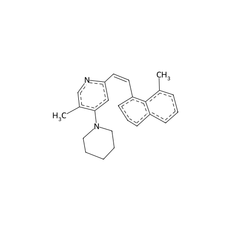 Cc1cnc(/C=C\c2cccc3cccc(C)c23)cc1N1CCCCC1